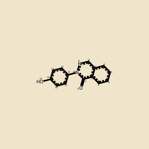 O=c1c2ccccc2cnn1-c1ccc(O)cc1